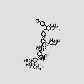 CC1(C)CCC(CN2CCN(c3ccc(C(=O)NS(=O)(=O)c4ccc(NC5CCN(C(=O)O)C(C(C)(C)C)C5)c([N+](=O)[O-])c4)c(Oc4cnc5[nH]ccc5c4)c3)CC2)=C(c2ccc(Cl)cc2)C1